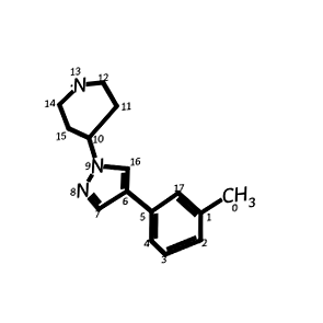 Cc1cccc(-c2cnn(C3CC[N]CC3)c2)c1